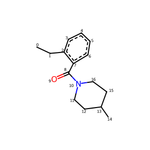 CCc1ccccc1C(=O)N1CCC(C)CC1